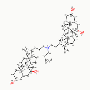 C[C@H](CCCN(CCC[C@H](C)[C@@H]1CCC2[C@H]3[C@H](O)CC4C[C@@H](O)CC[C@@]4(C)[C@@H]3CC[C@]21C)CCS(=O)(=O)O)[C@H]1CCC2[C@@H]3[C@@H](O)CC4C[C@H](O)CC[C@]4(C)[C@H]3CC[C@@]21C